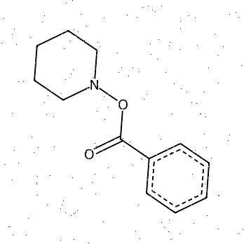 O=C(ON1CCCCC1)c1ccccc1